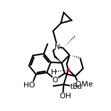 COC12CC[C@@]3(C[C@@H]1C(C)(O)C(C)(C)C)[C@@H](C)N(CC1CC1)CC[C@@]31c3c(C)ccc(O)c3O[C@]21C